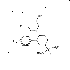 CC(C)CCN(CCC(C)C)[C@@H]1CCC(C(C)(C(=O)O)C(=O)O)CC1c1ccc(C(F)(F)F)cc1